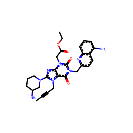 CC#CCn1c(N2CCCC(N)C2)nc2c1c(=O)n(Cc1ccc3c(N)cccc3n1)c(=O)n2CC(=O)OCC